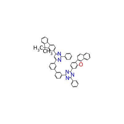 CC1(C)c2ccccc2-c2ccc(-c3cc(-c4cccc(-c5cccc(-c6nc(-c7ccccc7)nc(-c7ccc8c(c7)oc7c9ccccc9ccc87)n6)c5)c4)nc(-c4ccccc4)n3)cc21